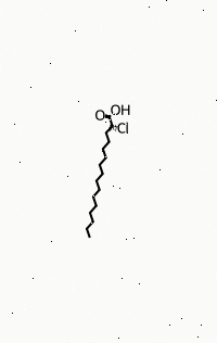 CCCCCCCCCCCCCC[C@@H](Cl)C(=O)O